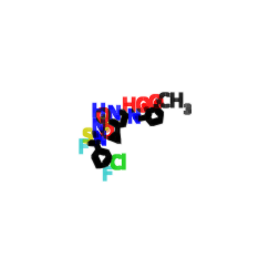 COc1cccc(/C=N/c2cnc(S(=O)(=O)Nc3nc(-c4ccc(F)c(Cl)c4)c(F)s3)c(C3CC3)c2)c1O